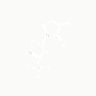 CC1CCN(c2cc(C(C)(C)C)ns2)C1=O